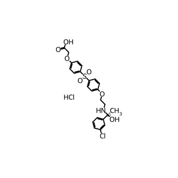 C[C@@](O)(NCCOc1ccc(S(=O)(=O)c2ccc(OCC(=O)O)cc2)cc1)c1cccc(Cl)c1.Cl